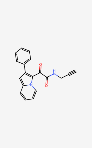 C#CCNC(=O)C(=O)c1c(-c2ccccc2)cc2ccccn12